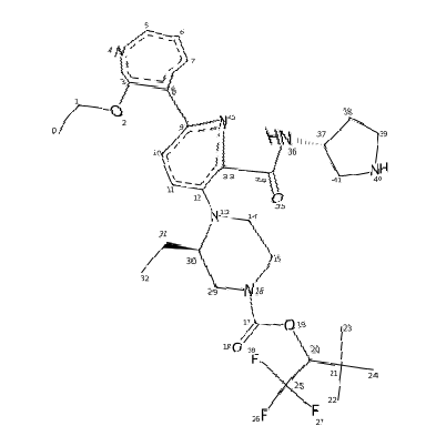 CCOc1ncccc1-c1ccc(N2CCN(C(=O)OC(C(C)(C)C)C(F)(F)F)C[C@H]2CC)c(C(=O)N[C@@H]2CCNC2)n1